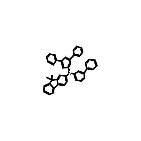 CC1(C)c2ccccc2-c2ccc(N(c3cccc(-c4ccccc4)c3)c3cc(-c4ccccc4)cc(-c4ccccc4)c3)cc21